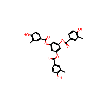 Cc1cc(C(=O)Oc2cc(OC(=O)c3ccc(O)c(C)c3)cc(OC(=O)c3ccc(O)c(C)c3)c2)ccc1O